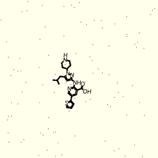 CC(C)Cc1cc(Nc2ncc(-c3cccs3)cc2C(=O)O)nn1C1CCNCC1